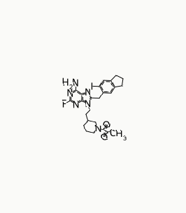 CS(=O)(=O)N1CCCC(CCn2c(Cc3cc4c(cc3I)CCC4)nc3c(N)nc(F)nc32)C1